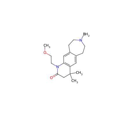 BN1CCc2cc3c(cc2CC1)C(C)(C)CC(=O)N3CCOC